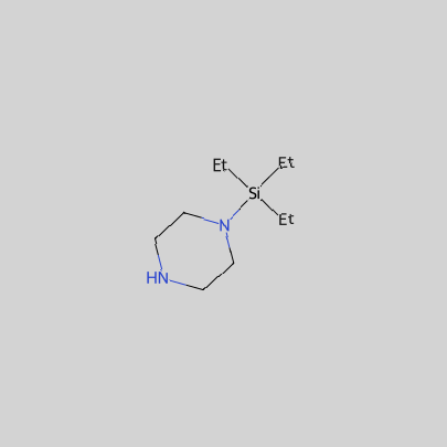 CC[Si](CC)(CC)N1CCNCC1